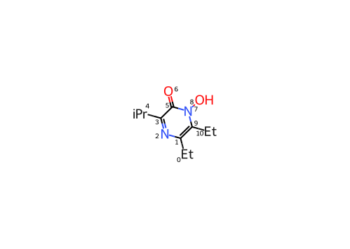 CCc1nc(C(C)C)c(=O)n(O)c1CC